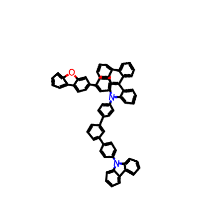 c1cc(-c2ccc(N(c3cccc(-c4ccc5c(c4)oc4ccccc45)c3)c3ccccc3-c3cc4ccccc4c4ccccc34)cc2)cc(-c2ccc(-n3c4ccccc4c4ccccc43)cc2)c1